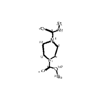 CCNC(=O)N1CCN(C(=O)OC(C)(C)C)CC1